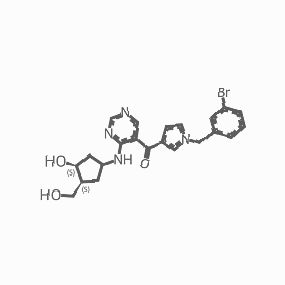 O=C(c1ccn(Cc2cccc(Br)c2)c1)c1cncnc1NC1C[C@@H](CO)[C@@H](O)C1